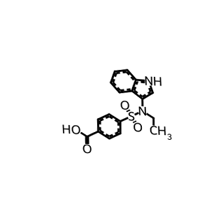 CCN(c1c[nH]c2ccccc12)S(=O)(=O)c1ccc(C(=O)O)cc1